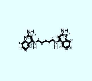 Nc1cc(NCCCCCNc2cc(N)nc3ccccc23)c2ccccc2n1